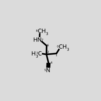 CCC(C)(C#N)CNC